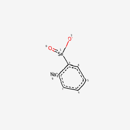 O=[Se]([O-])c1ccccc1.[Na+]